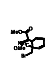 CO/N=C(/C(=O)OC)C1C=CC=CC1(CBr)CBr